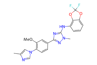 COc1cc(-c2nc(Nc3cccc4c3OC(F)(F)O4)n(C)n2)ccc1-n1cnc(C)c1